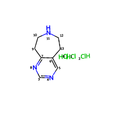 Cl.Cl.Cl.c1ncc2c(n1)CCNCC2